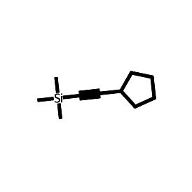 C[Si](C)(C)C#CC1CCCC1